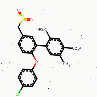 Cc1cc(-c2cc(C[SH](=O)=O)ccc2Oc2ccc(Cl)cc2)c(C(=O)O)cc1C(=O)O